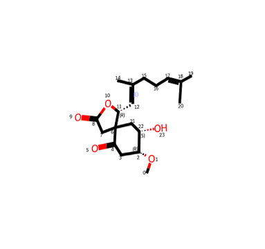 CO[C@@H]1CC(=O)C2(CC(=O)O[C@@H]2/C=C(\C)CCC=C(C)C)C[C@@H]1O